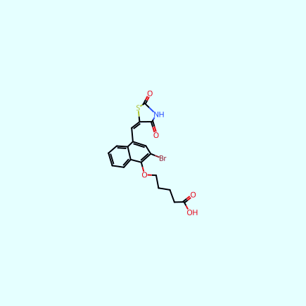 O=C(O)CCCCOc1c(Br)cc(/C=C2/SC(=O)NC2=O)c2ccccc12